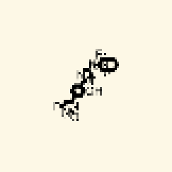 CN(c1cnc(-c2ccc(-c3cc(F)n(C)c(=O)n3)cc2O)nn1)[C@H]1C[C@]2(C)CCC[C@@](C)(N2)[C@H]1F